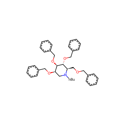 CCCCN1C[C@@H](OCc2ccccc2)[C@@H](OCc2ccccc2)[C@H](OCc2ccccc2)[C@H]1COCc1ccccc1